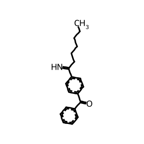 CCCCCCC(=N)c1ccc(C(=O)c2ccccc2)cc1